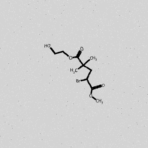 COC(=O)C(Br)CC(C)(C)C(=O)OCCO